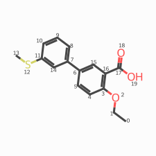 CCOc1ccc(-c2cccc(SC)c2)cc1C(=O)O